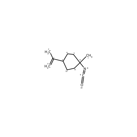 C=C(C)C1CCC(C)(N=C=O)CC1